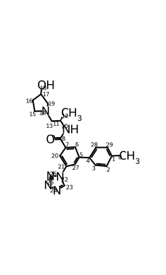 Cc1ccc(-c2cc(C(=O)N[C@H](C)CN3CCC(O)C3)cc(-n3cnnn3)c2)cc1